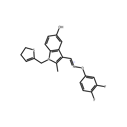 Cc1c(/C=N/Oc2ccc(F)c(F)c2)c2cc(O)ccc2n1CC1=CCCS1